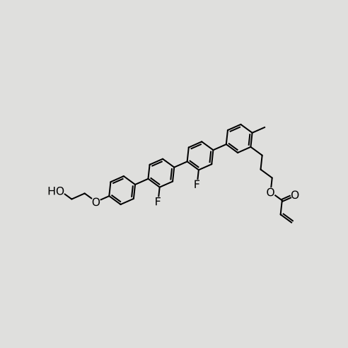 C=CC(=O)OCCCc1cc(-c2ccc(-c3ccc(-c4ccc(OCCO)cc4)c(F)c3)c(F)c2)ccc1C